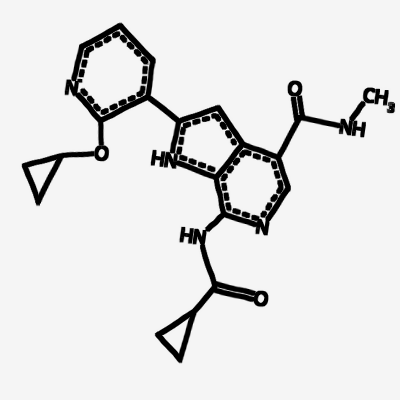 CNC(=O)c1cnc(NC(=O)C2CC2)c2[nH]c(-c3cccnc3OC3CC3)cc12